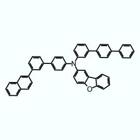 c1ccc(-c2ccc(-c3cccc(N(c4ccc(-c5cccc(-c6ccc7ccccc7c6)c5)cc4)c4ccc5oc6ccccc6c5c4)c3)cc2)cc1